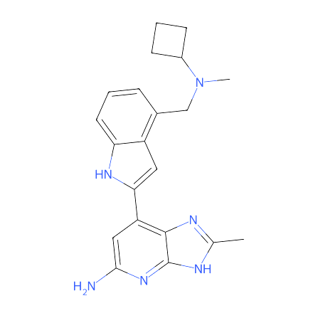 Cc1nc2c(-c3cc4c(CN(C)C5CCC5)cccc4[nH]3)cc(N)nc2[nH]1